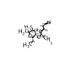 CC[C@H]1OC(C)[C@@H](C)[C@H](F)[C@@H]1OP(C)OCCC#N